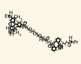 CCCNC(=O)CCCn1nnc2c1-c1ccccc1CN(C(=O)CCC(=O)NCCOCCOCCOCCNC(=O)c1ccc(C3c4cc(C)c(NCC)cc4OC4=C/C(=N/CC)C(C)=CC43)c(C(=O)O)c1)c1ccccc1-2